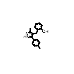 Cc1ccc(-c2[nH]nc(C)c2Cc2ccccc2O)cc1